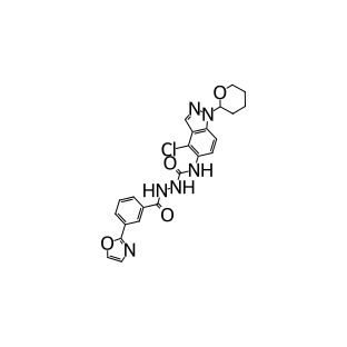 O=C(NNC(=O)c1cccc(-c2ncco2)c1)Nc1ccc2c(cnn2C2CCCCO2)c1Cl